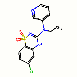 CCN(C1=NS(=O)(=O)c2ccc(Cl)cc2N1)c1cccnc1